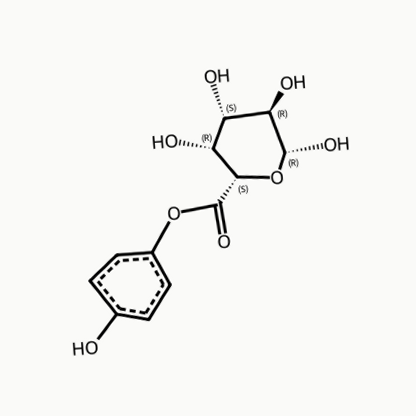 O=C(Oc1ccc(O)cc1)[C@H]1O[C@@H](O)[C@H](O)[C@@H](O)[C@H]1O